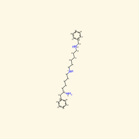 NC(CCCCCNCCCCCCNCc1ccccc1)Cc1ccccc1